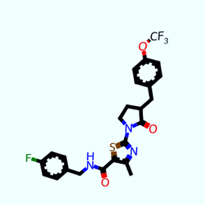 Cc1nc(N2CCC(Cc3ccc(OC(F)(F)F)cc3)C2=O)sc1C(=O)NCc1ccc(F)cc1